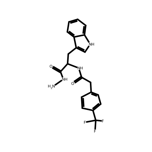 NNC(=O)C(Cc1c[nH]c2ccccc12)NC(=O)Cc1ccc(C(F)(F)F)cc1